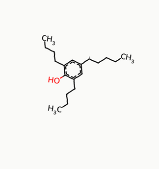 CCCC[CH]c1cc(CCCC)c(O)c(CCCC)c1